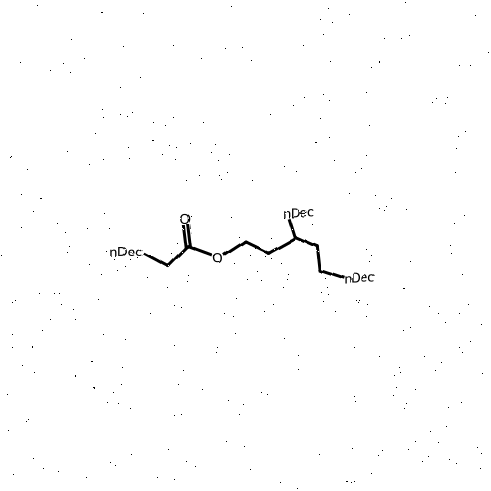 CCCCCCCCCCCCC(CCCCCCCCCC)CCOC(=O)CCCCCCCCCCC